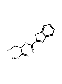 COC(=O)C(CC(C)C)NC(=O)c1cc2ccccc2s1